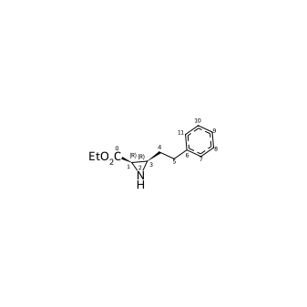 CCOC(=O)[C@@H]1N[C@@H]1CCc1ccccc1